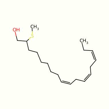 CC/C=C\C/C=C\C/C=C\CCCCCCC(CO)SC